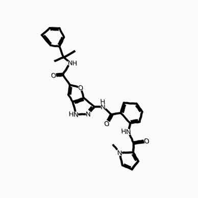 Cn1cccc1C(=O)Nc1ccccc1C(=O)Nc1n[nH]c2cc(C(=O)NC(C)(C)c3ccccc3)oc12